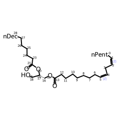 CCCCC/C=C\C/C=C\CCCCCCCC(=O)OC[C@H](CO)OC(=O)CCCCCCCCCCCCCCC